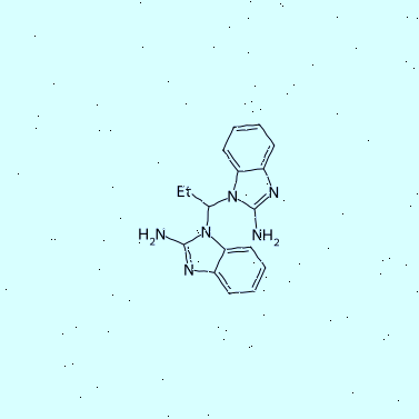 CCC(n1c(N)nc2ccccc21)n1c(N)nc2ccccc21